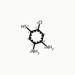 Nc1cc(S)c(Cl)cc1N